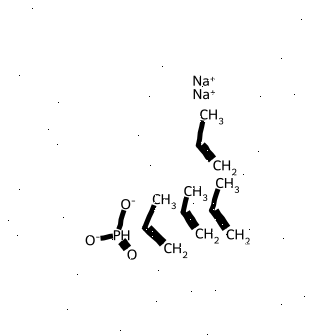 C=CC.C=CC.C=CC.C=CC.O=[PH]([O-])[O-].[Na+].[Na+]